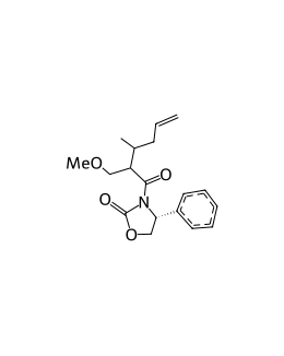 C=CCC(C)C(COC)C(=O)N1C(=O)OC[C@H]1c1ccccc1